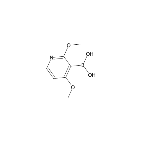 COc1ccnc(OC)c1B(O)O